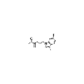 CC(=O)NCCCn1nc(C)c2ccc(F)cc21